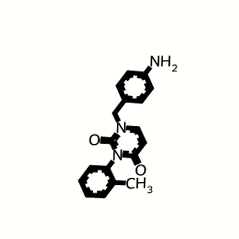 Cc1ccccc1-n1c(=O)ccn(Cc2ccc(N)cc2)c1=O